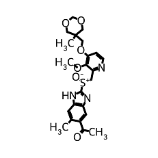 COc1c(OCC2(C)COCOC2)ccnc1C[S+]([O-])c1nc2cc(C(C)=O)c(C)cc2[nH]1